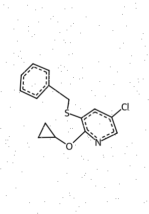 Clc1cnc(OC2CC2)c(SCc2ccccc2)c1